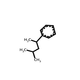 C[C](C)CC(C)c1ccccc1